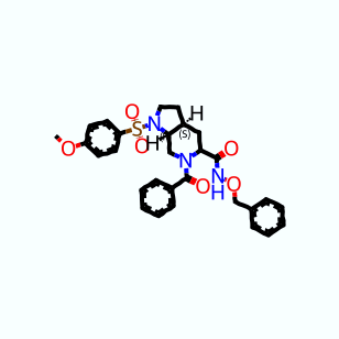 COc1ccc(S(=O)(=O)N2CC[C@H]3CC(C(=O)NOCc4ccccc4)N(C(=O)c4ccccc4)C[C@@H]32)cc1